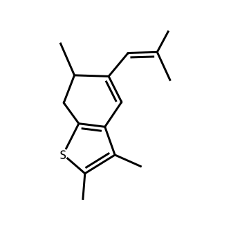 CC(C)=CC1=Cc2c(sc(C)c2C)CC1C